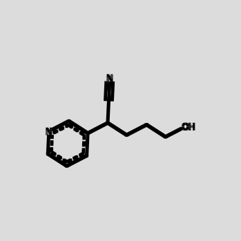 N#CC(CCCO)c1cccnc1